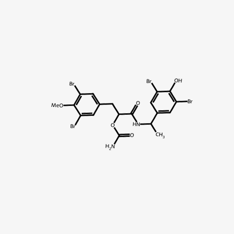 COc1c(Br)cc(CC(OC(N)=O)C(=O)NC(C)c2cc(Br)c(O)c(Br)c2)cc1Br